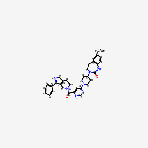 COc1ccc2c(c1)CCN(C1CCN(c3cc(C(=O)N4CCC5=C(C4)C(c4ccccc4)=NC5)ncn3)CC1)C(=O)N2